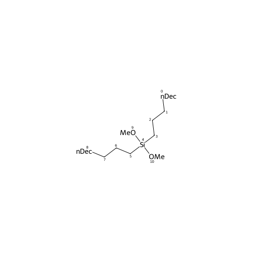 CCCCCCCCCCCCC[Si](CCCCCCCCCCCCC)(OC)OC